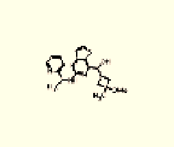 COC1(C)CN(C(O)c2nc(NC(C)c3ccccn3)nc3ccsc23)C1